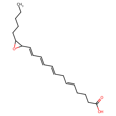 CCCCCC1OC1C=CC=CC=CCC=CCCCC(=O)O